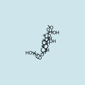 CC(=O)O[C@@H]([C@H]1C[C@@H](C)C2[C@H](O1)[C@H](O)[C@@]1(C)[C@@H]3CC[C@H]4C(C)(C)[C@@H](OC5CN(C(C)(C)CO)CCO5)CC[C@@]45C[C@@]35CC[C@]21C)C(C)(C)O